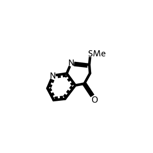 CSC1=Nc2ncccc2C(=O)C1